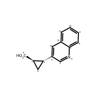 O=C(O)[C@@H]1C[C@H]1c1cnc2ccccc2c1